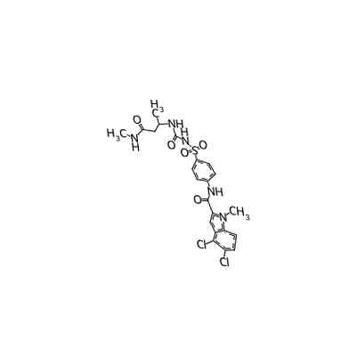 CNC(=O)CC(C)NC(=O)NS(=O)(=O)c1ccc(NC(=O)c2cc3c(Cl)c(Cl)ccc3n2C)cc1